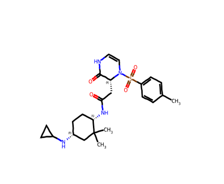 Cc1ccc(S(=O)(=O)N2C=CNC(=O)[C@H]2CC(=O)N[C@H]2CC[C@@H](NC3CC3)CC2(C)C)cc1